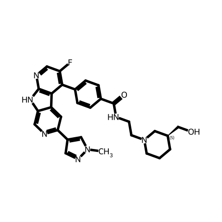 Cn1cc(-c2cc3c(cn2)[nH]c2ncc(F)c(-c4ccc(C(=O)NCCN5CCC[C@H](CO)C5)cc4)c23)cn1